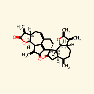 C=C1O[C@@H]2[C@@H]3[C@@H](CC(=O)[C@]34CCC3=CC[C@H]5C(=C)C(=O)O[C@@H]5C5C(=C)C(=O)C4=C35)C(=C)CC[C@H]2C1=C